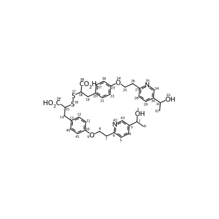 CC(O)c1ccc(CCOc2ccc(CC(SSC(Cc3ccc(OCCc4ccc(C(C)O)cn4)cc3)C(=O)O)C(=O)O)cc2)nc1